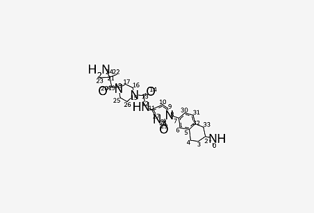 CNC1CCc2cc(-n3ccc(NC(=O)N4CCN(C(=O)C(C)(C)N)CC4)nc3=O)ccc2C1